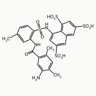 Cc1ccc(S(=O)(=O)Nc2cc(S(=O)(=O)O)cc3cc(S(=O)(=O)O)cc(S(=O)(=O)O)c23)c(NC(=O)c2cc(N)c(C)cc2C)c1